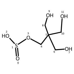 O=S(O)OCC(CO)(CO)CO